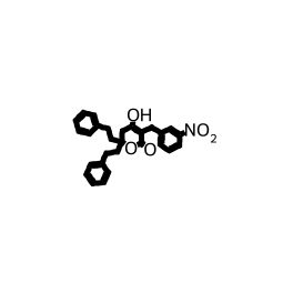 O=C1OC(CCc2ccccc2)(CCc2ccccc2)CC(O)=C1Cc1cccc([N+](=O)[O-])c1